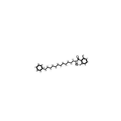 Cc1cccc(C)c1C(=O)[PH](=O)CCCCCCCCCCCCc1ccccc1